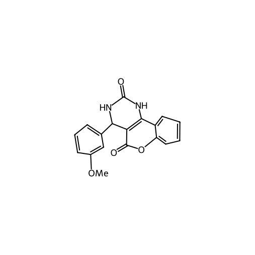 COc1cccc(C2NC(=O)Nc3c2c(=O)oc2ccccc32)c1